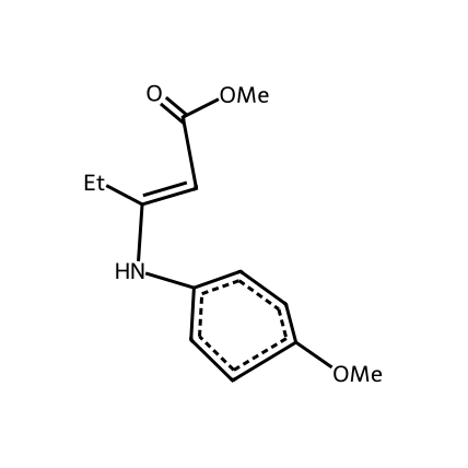 CCC(=CC(=O)OC)Nc1ccc(OC)cc1